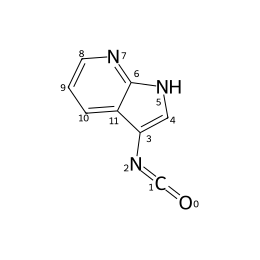 O=C=Nc1c[nH]c2ncccc12